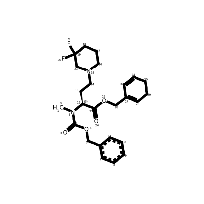 CN(C(=O)OCc1ccccc1)[C@@H](CCN1CCCC(F)(F)C1)C(=O)OCC1=CCCC=C1